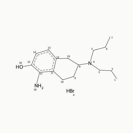 Br.CCCN(CCC)C1CCc2c(ccc(O)c2N)C1